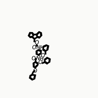 O=C(Nc1ccc(NC(=O)c2ccc(OCc3ccccc3)cc2OCc2ccccc2)c(OCc2ccccc2)c1)OCC1c2ccccc2-c2ccccc21